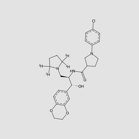 [2H]C1([2H])CCC([2H])([2H])N1C[C@@H](NC(=O)C1CCN(c2ccc(Cl)cc2)C1)[C@H](O)c1ccc2c(c1)OCCO2